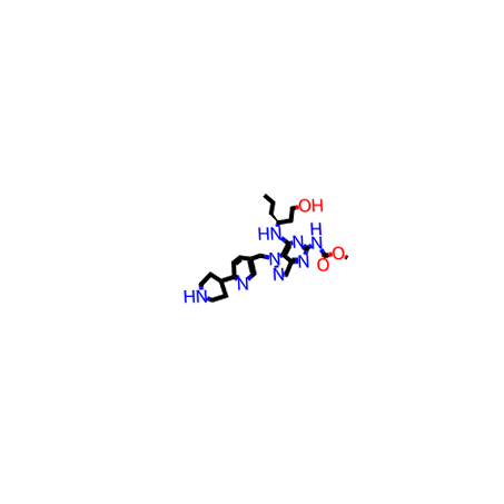 CCC[C@@H](CCO)Nc1nc(NC(=O)OC)nc2cnn(Cc3ccc(C4CCNCC4)nc3)c12